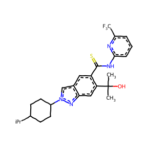 CC(C)C1CCC(n2cc3cc(C(=S)Nc4cccc(C(F)(F)F)n4)c(C(C)(C)O)cc3n2)CC1